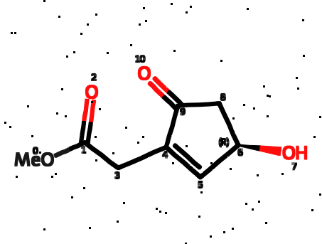 COC(=O)CC1=C[C@H](O)CC1=O